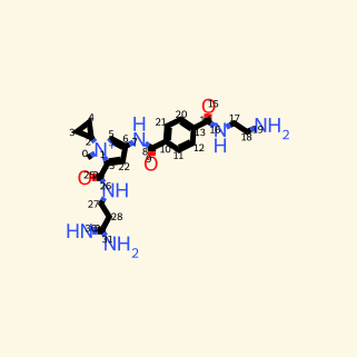 C[N+]1(C2CC2)C=C(NC(=O)c2ccc(C(=O)NCCN)cc2)C=C1C(=O)NCCC(=N)N